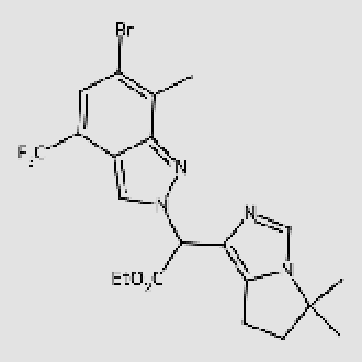 CCOC(=O)C(c1ncn2c1CCC2(C)C)n1cc2c(C(F)(F)F)cc(Br)c(C)c2n1